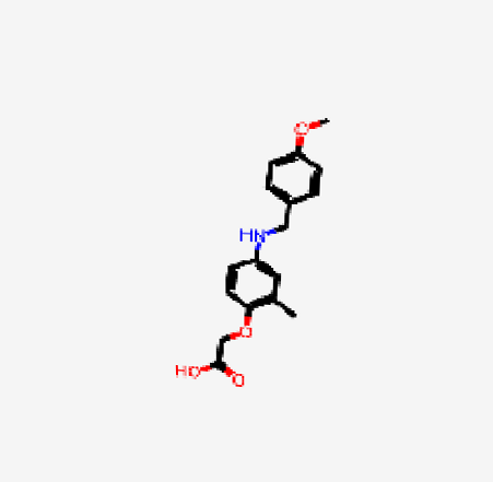 COc1ccc(CNc2ccc(OCC(=O)O)c(C)c2)cc1